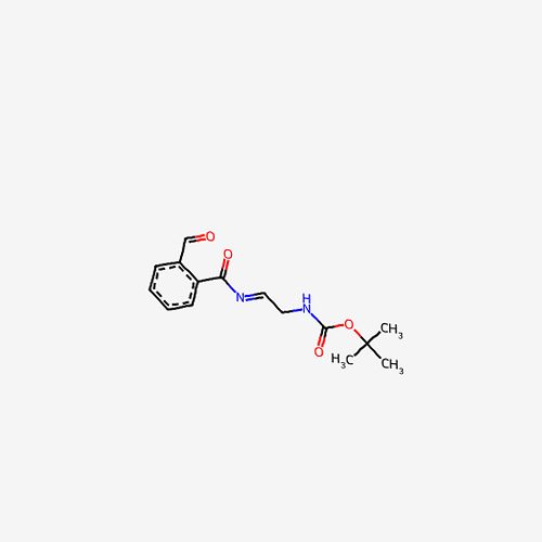 CC(C)(C)OC(=O)NCC=NC(=O)c1ccccc1C=O